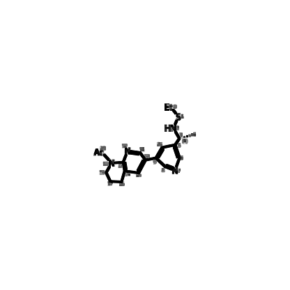 CCSN[C@H](C)c1cncc(-c2cnc3c(c2)CCCN3C(C)=O)c1